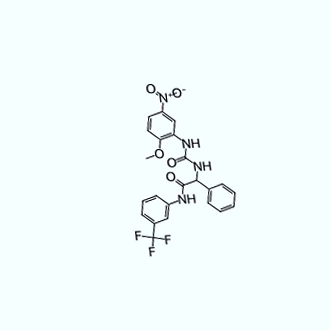 COc1ccc([N+](=O)[O-])cc1NC(=O)NC(C(=O)Nc1cccc(C(F)(F)F)c1)c1ccccc1